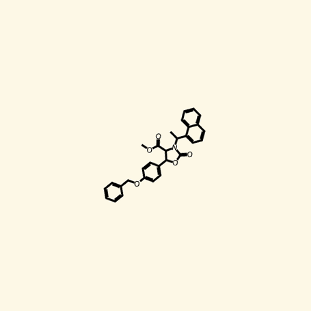 COC(=O)C1C(c2ccc(OCc3ccccc3)cc2)OC(=O)N1C(C)c1cccc2ccccc12